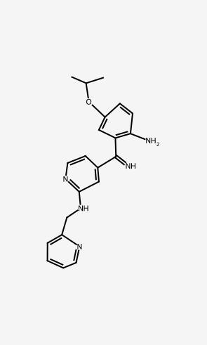 CC(C)Oc1ccc(N)c(C(=N)c2ccnc(NCc3ccccn3)c2)c1